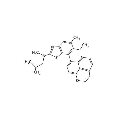 CCc1c(C)cc2nc(N(C)CC(C)C)sc2c1-c1ccc2c3c(ccnc13)CCO2